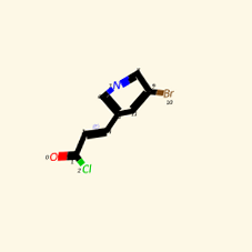 O=C(Cl)/C=C/c1cncc(Br)c1